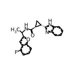 CC(NC(=O)[C@H]1C[C@@H]1c1nc2ccccc2[nH]1)c1cc2c(F)cccc2o1